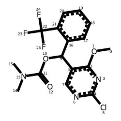 COc1nc(Cl)ncc1C(OC(=O)N(C)C)c1ccccc1C(F)(F)F